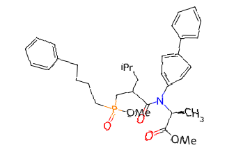 COC(=O)[C@H](C)N(C(=O)C(CC(C)C)CP(=O)(CCCCc1ccccc1)OC)c1ccc(-c2ccccc2)cc1